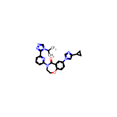 CC(n1cnnc1-c1cccc(N2CCOc3ccc(-n4cnc(C5CC5)c4)cc3C2=O)n1)C(F)(F)F